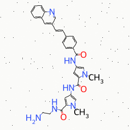 Cn1cc(NC(=O)c2cc(NC(=O)c3ccc(/C=C/c4cnc5ccccc5c4)cc3)cn2C)cc1C(=O)NCCN